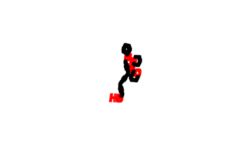 C1CCC(OC2CCCCO2)OC1.OCC#CCC#CCC#CCOc1ccccc1